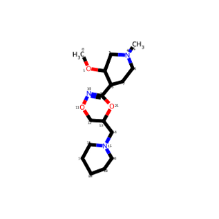 COC1CN(C)CCC1C1=NOCC(CN2CCCCC2)O1